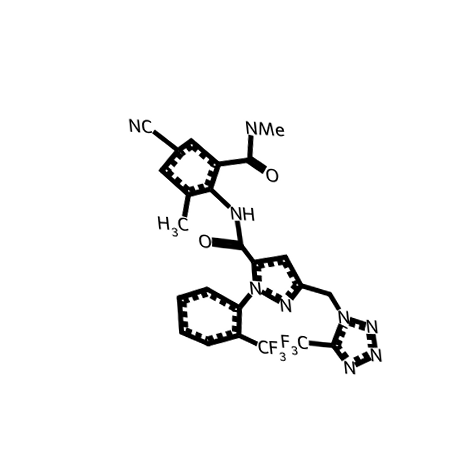 CNC(=O)c1cc(C#N)cc(C)c1NC(=O)c1cc(Cn2nnnc2C(F)(F)F)nn1-c1ccccc1C(F)(F)F